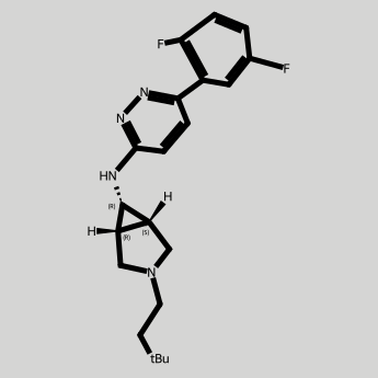 CC(C)(C)CCN1C[C@@H]2[C@H](C1)[C@@H]2Nc1ccc(-c2cc(F)ccc2F)nn1